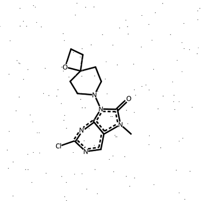 Cn1c(=O)n(N2CCC3(CCO3)CC2)c2nc(Cl)ncc21